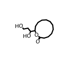 O=C1CCCCCCCCCCC(C(O)CCO)O1